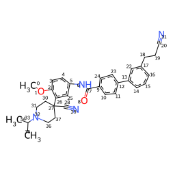 COc1ccc(NC(=O)c2ccc(-c3cccc(CCC#N)c3)cc2)cc1C1(C#N)CCN(C(C)C)CC1